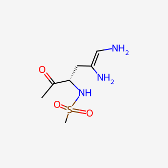 CC(=O)[C@H](C/C(N)=C/N)NS(C)(=O)=O